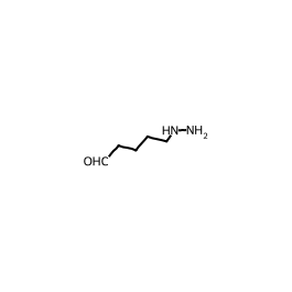 NNCCCCC=O